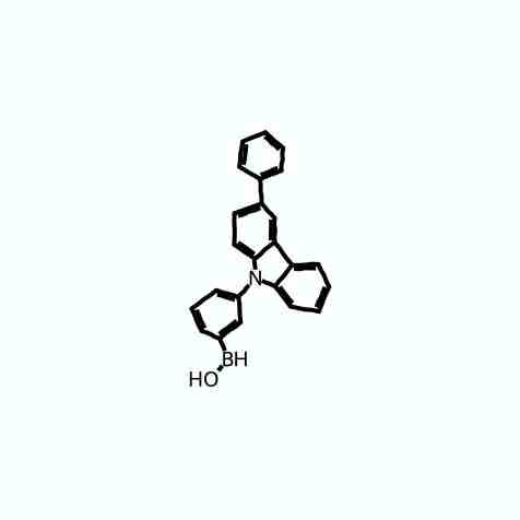 OBc1cccc(-n2c3ccccc3c3cc(-c4ccccc4)ccc32)c1